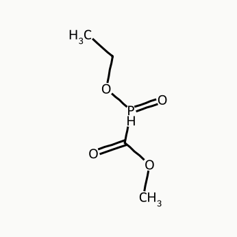 CCO[PH](=O)C(=O)OC